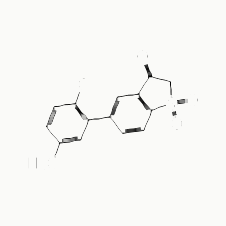 Cc1ccc(Cl)c(-c2ccc3c(c2)C(=O)CS3(=O)=O)c1